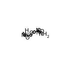 Cn1ccc(NC(=O)c2cccc(Oc3ccc(-c4noc(C(N)=O)n4)cc3)c2)n1